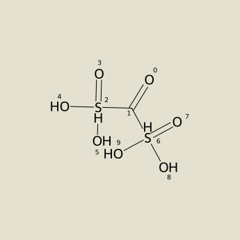 O=C([SH](=O)(O)O)[SH](=O)(O)O